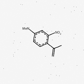 C=C(C)c1ccc(NC)cc1[N+](=O)[O-]